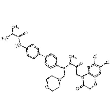 CC(C)C(=O)Nc1ccc(-c2ccc(C(CN3CCOCC3)N(C)C(=O)CN3C(=O)COc4cc(Cl)c(Cl)cc43)cc2)cc1